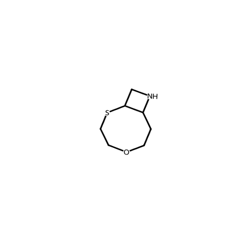 C1CSC2CNC2CCO1